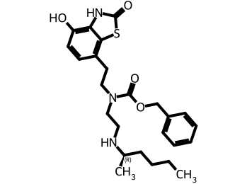 CCCC[C@@H](C)NCCN(CCc1ccc(O)c2[nH]c(=O)sc12)C(=O)OCc1ccccc1